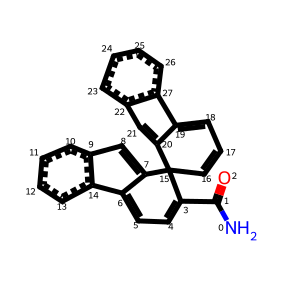 NC(=O)C1=CC=C2C(=Cc3ccccc32)C12C=CC=C1C2=Cc2ccccc21